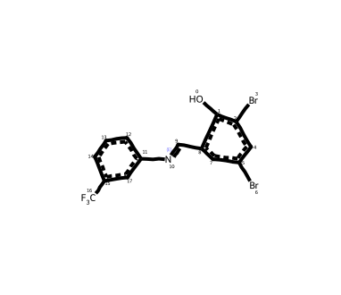 Oc1c(Br)cc(Br)cc1/C=N/c1cccc(C(F)(F)F)c1